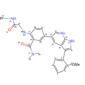 COc1ccccc1-c1c[nH]c2ncc(-c3ccc(NCC(=O)NC(C)C)c(C(=O)N(C)C)c3)cc12